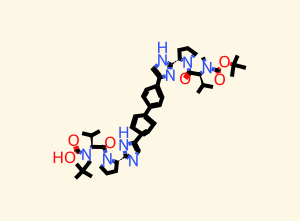 CC(C)[C@@H](C(=O)N1CCC[C@H]1c1nc(-c2ccc(-c3ccc(-c4cnc([C@@H]5CCCN5C(=O)[C@H](C(C)C)N(CC(C)(C)C)C(=O)O)[nH]4)cc3)cc2)c[nH]1)N(C)C(=O)OC(C)(C)C